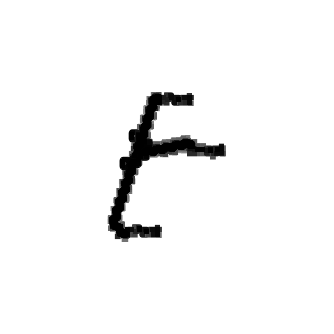 CCCCC/C=C\C/C=C\CCCCCCCCCCCC(=O)OC[C@@H](COC(=O)CCCCCCC/C=C\CCCCC)OC(=O)CCCCCCC/C=C\CCCCCCC